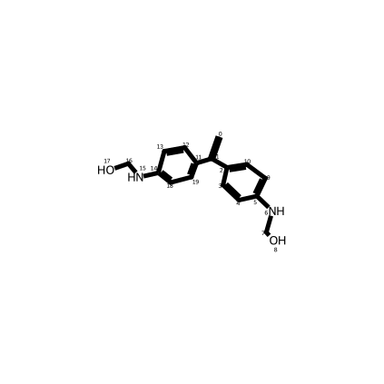 C=C(c1ccc(NCO)cc1)c1ccc(NCO)cc1